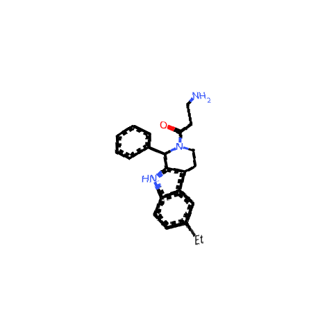 CCc1ccc2[nH]c3c(c2c1)CCN(C(=O)CCN)C3c1ccccc1